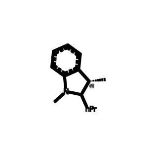 CCCC1[C@@H](C)c2ccccc2N1C